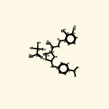 CC(C)c1ccc(OC2CN[C@@H](C(O)COc3cccc(Cl)c3Cl)C2)cc1.O=C(O)C(F)(F)F